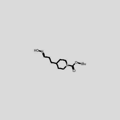 CC(C)(C)OC(=O)N1CCC(CCC=NO)CC1